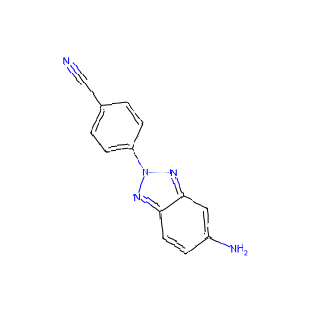 N#Cc1ccc(-n2nc3ccc(N)cc3n2)cc1